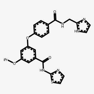 CC(C)Oc1cc(Oc2ccc(C(=O)NCc3ncc[nH]3)cc2)cc(C(=O)Nc2nccs2)c1